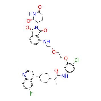 C[C@@H](C(=O)Nc1ccc(Cl)c(OCCOCCNc2cccc3c2C(=O)N(C2CCC(=O)NC2=O)C3=O)c1)[C@H]1CC[C@@H](c2ccnc3ccc(F)cc32)CC1